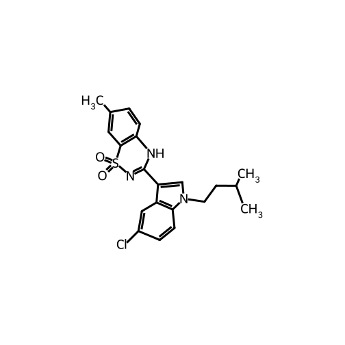 Cc1ccc2c(c1)S(=O)(=O)N=C(c1cn(CCC(C)C)c3ccc(Cl)cc13)N2